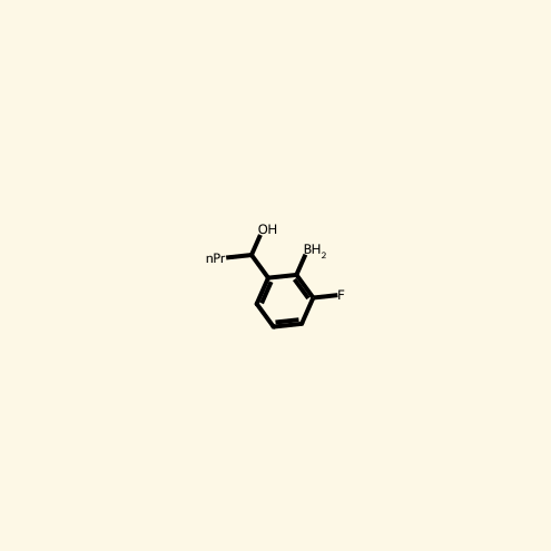 Bc1c(F)cccc1C(O)CCC